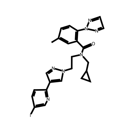 Cc1ccc(-n2nccn2)c(C(=O)N(CCn2cc(-c3ccc(I)cn3)cn2)CC2CC2)c1